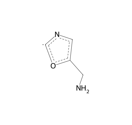 NCc1cn[c]o1